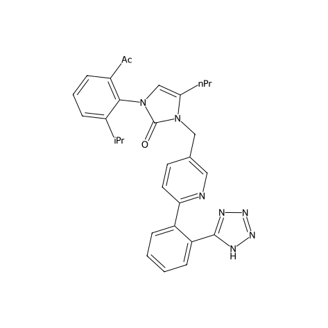 CCCc1cn(-c2c(C(C)=O)cccc2C(C)C)c(=O)n1Cc1ccc(-c2ccccc2-c2nnn[nH]2)nc1